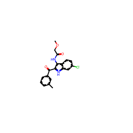 COCC(=O)Nc1c(C(=O)c2cccc(C)c2)[nH]c2cc(Cl)ccc12